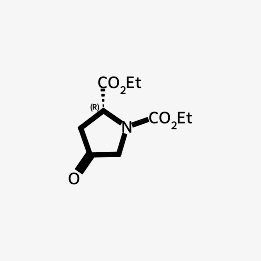 CCOC(=O)[C@H]1CC(=O)CN1C(=O)OCC